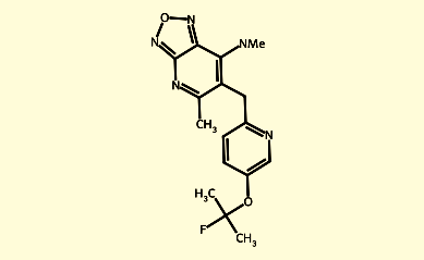 CNc1c(Cc2ccc(OC(C)(C)F)cn2)c(C)nc2nonc12